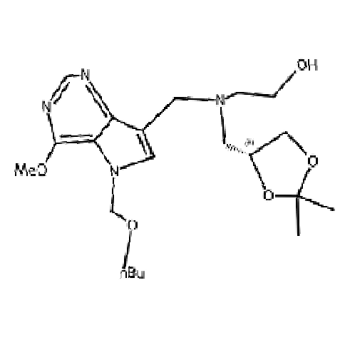 CCCCOCn1cc(CN(CCO)C[C@@H]2COC(C)(C)O2)c2ncnc(OC)c21